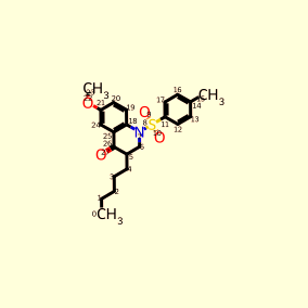 CCCCCC1CN(S(=O)(=O)c2ccc(C)cc2)c2ccc(OC)cc2C1=O